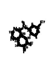 CN(c1cccc(F)c1)c1ncnc2cc(F)c(F)cc12